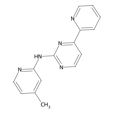 Cc1ccnc(Nc2nccc(-c3ccccn3)n2)c1